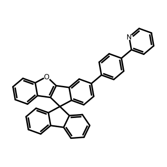 c1ccc(-c2ccc(-c3ccc4c(c3)-c3oc5ccccc5c3C43c4ccccc4-c4ccccc43)cc2)nc1